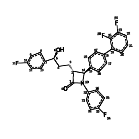 O=C1[C@H](CC[C@H](O)c2ccc(F)cc2)[C@@H](c2ccc(-c3cccc(F)c3F)cc2)N1c1ccc(F)cc1